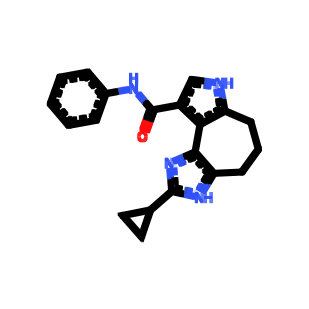 O=C(Nc1ccccc1)c1c[nH]c2c1-c1nc(C3CC3)[nH]c1CCC2